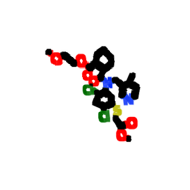 COCCOC(=O)C1=C(C(=O)N(Cc2cnccc2C)c2cc(SCC(=O)OC)c(Cl)cc2Cl)CCCC1